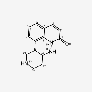 O=c1ccc2ccccc2n1NC1CCNCC1